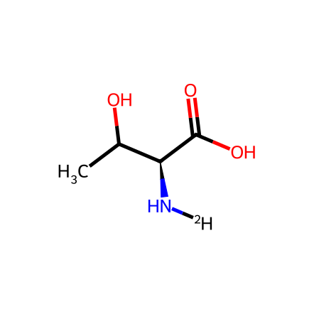 [2H]N[C@H](C(=O)O)C(C)O